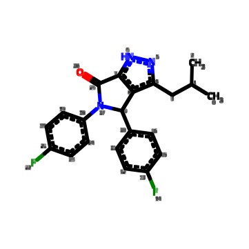 CC(C)Cc1n[nH]c2c1C(c1ccc(F)cc1)N(c1ccc(F)cc1)C2=O